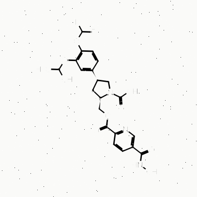 CNC(=O)c1ccc(C(=O)OC[C@H]2C[C@@H](c3ccc(OC(F)F)c(OC(C)C)c3)CN2C(C)=O)nc1